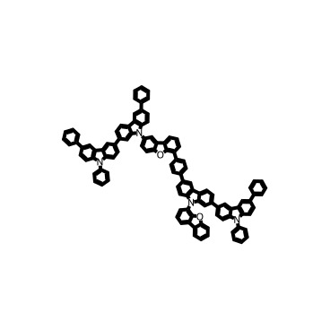 c1ccc(-c2ccc3c(c2)c2cc(-c4ccc5c6cc(-c7ccccc7)ccc6n(-c6ccc7oc8c(-c9ccc(-c%10ccc%11c(c%10)c%10ccc(-c%12ccc%13c(c%12)c%12cc(-c%14ccccc%14)ccc%12n%13-c%12ccccc%12)cc%10n%11-c%10cccc%11c%10oc%10ccccc%10%11)cc9)cccc8c7c6)c5c4)ccc2n3-c2ccccc2)cc1